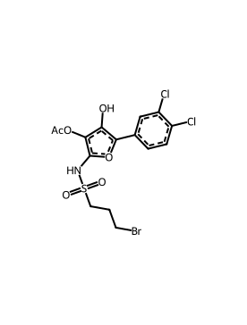 CC(=O)Oc1c(NS(=O)(=O)CCCBr)oc(-c2ccc(Cl)c(Cl)c2)c1O